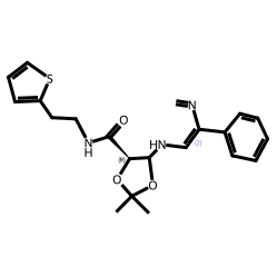 C=N/C(=C\NC1OC(C)(C)O[C@H]1C(=O)NCCc1cccs1)c1ccccc1